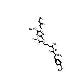 CC(CCC[C@H](NC(=O)N[C@@H](CCC(=O)OC(C)(C)C)C(=O)OC(C)(C)C)C(=O)OC(C)(C)C)NC(=O)[C@@H](N)Cc1ccc(OC(C)(C)C)cc1